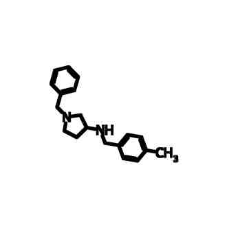 Cc1ccc(CNC2CCN(Cc3ccccc3)C2)cc1